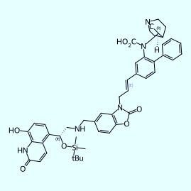 CC(C)(C)[Si](C)(C)O[C@@H](CNCc1ccc2oc(=O)n(C/C=C/c3ccc(-c4ccccc4)c(N(C(=O)O)[C@H]4CN5CCC4CC5)c3)c2c1)c1ccc(O)c2[nH]c(=O)ccc12